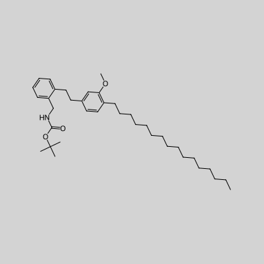 CCCCCCCCCCCCCCCCc1ccc(CCc2ccccc2CNC(=O)OC(C)(C)C)cc1OC